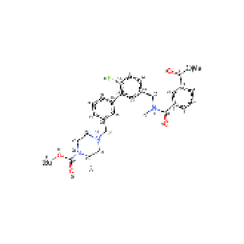 COC(=O)c1cccc(C(=O)N(C)Cc2ccc(F)c(-c3cccc(CN4CCN(C(=O)OC(C)(C)C)[C@@H](C)C4)c3)c2)c1